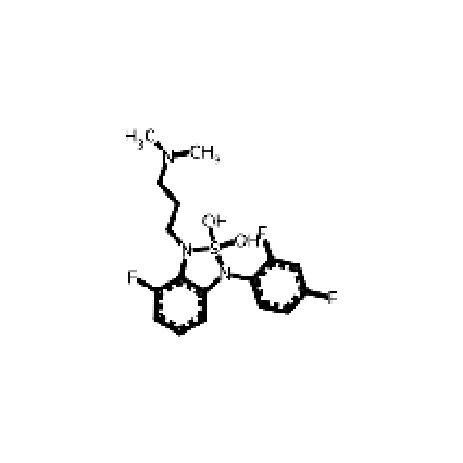 CN(C)CCCN1c2c(F)cccc2N(c2ccc(F)cc2F)S1(O)O